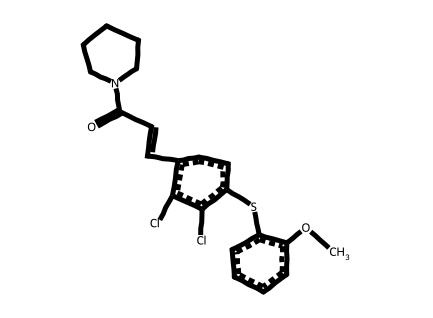 COc1ccccc1Sc1ccc(C=CC(=O)N2CCCCC2)c(Cl)c1Cl